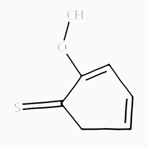 [CH2]OC1=CC=CCC1=S